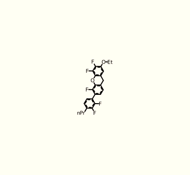 CCCc1ccc(-c2ccc3c(c2F)Oc2c(cc(OCC)c(F)c2F)C3)c(F)c1F